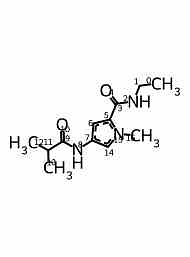 CCNC(=O)c1cc(NC(=O)C(C)C)cn1C